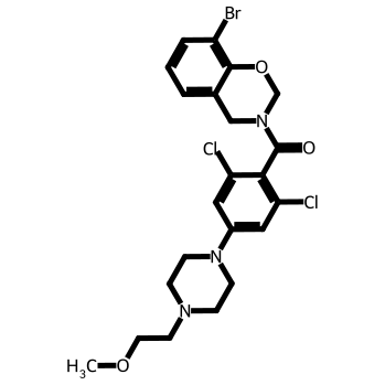 COCCN1CCN(c2cc(Cl)c(C(=O)N3COc4c(Br)cccc4C3)c(Cl)c2)CC1